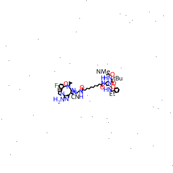 CC[C@H](NC(=O)[C@H]1C[C@@H](NC(=O)CCCCCCCCC(=O)NCCn2nc3c(c2C#N)-c2cnc(N)c(c2)N2CCC[C@@H]2c2cc(F)ccc2C(=O)N(C2CC2)C3)CN1C(=O)[C@H](NC(=O)[C@@H](C)NC)C(C)(C)C)c1ccccc1